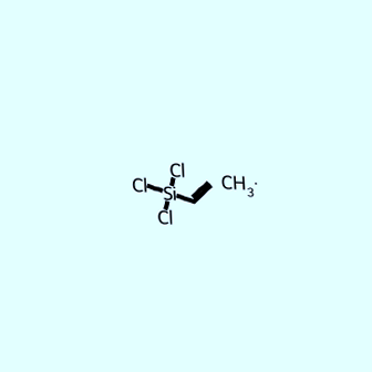 C=C[Si](Cl)(Cl)Cl.[CH3]